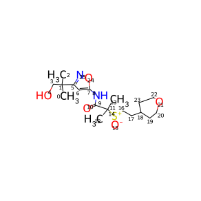 CC(C)(CO)c1cc(NC(=O)C(C)(C)[S+]([O-])CCC2CCOCC2)on1